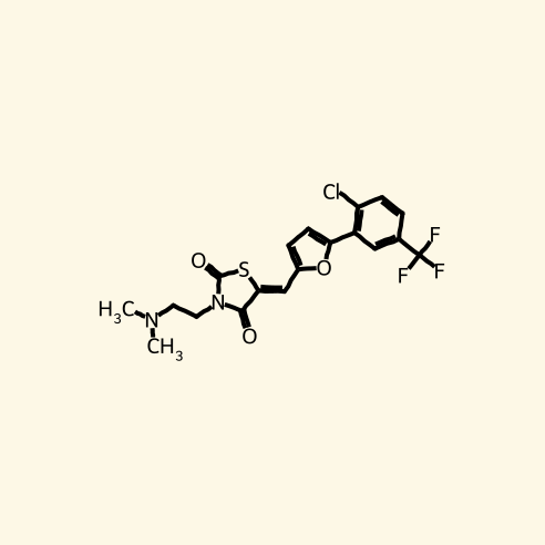 CN(C)CCN1C(=O)S/C(=C\c2ccc(-c3cc(C(F)(F)F)ccc3Cl)o2)C1=O